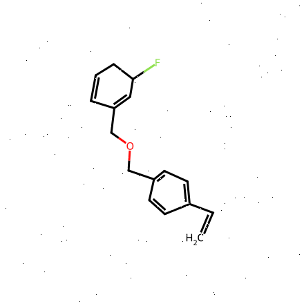 C=Cc1ccc(COCC2=CC(F)CC=C2)cc1